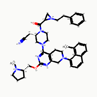 Cc1cccc2cccc(N3CCc4c(nc(OC[C@@H]5CCCN5C)nc4N4CCN(C(=O)C5CN5CCc5ccccc5)[C@@H](CC#N)C4)C3)c12